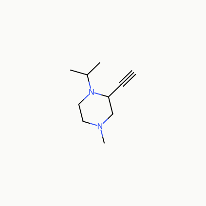 C#CC1CN(C)CCN1C(C)C